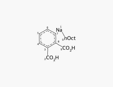 CCCCCCC[CH2][Na].O=C(O)c1ccccc1C(=O)O